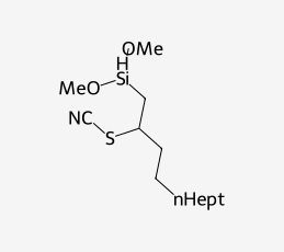 CCCCCCCCCC(C[SiH](OC)OC)SC#N